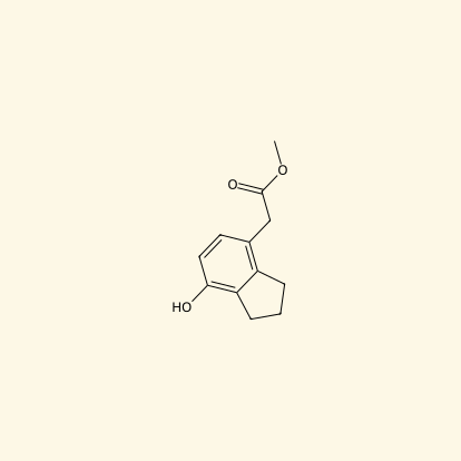 COC(=O)Cc1ccc(O)c2c1CCC2